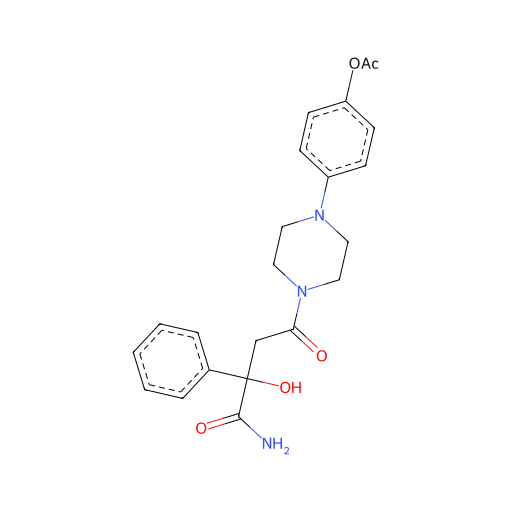 CC(=O)Oc1ccc(N2CCN(C(=O)CC(O)(C(N)=O)c3ccccc3)CC2)cc1